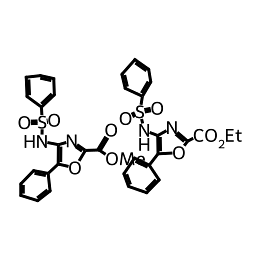 CCOC(=O)c1nc(NS(=O)(=O)c2ccccc2)c(-c2ccccc2)o1.COC(=O)c1nc(NS(=O)(=O)c2ccccc2)c(-c2ccccc2)o1